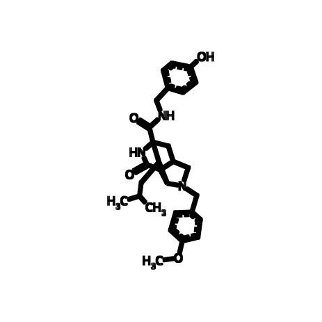 COc1ccc(CN2CC3CC4(C(=O)NCc5ccc(O)cc5)NC(=O)C3C2C4CC(C)C)cc1